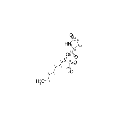 CCCCCCC=C(OC(=O)C1CCC(=O)N1)C(=O)C=O